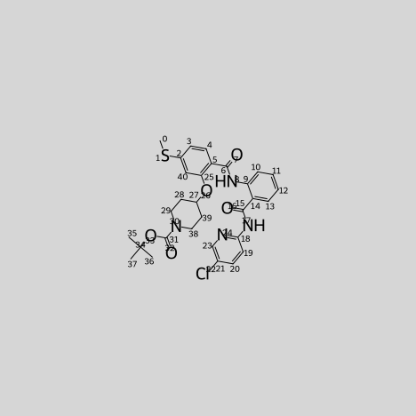 CSc1ccc(C(=O)Nc2ccccc2C(=O)Nc2ccc(Cl)cn2)c(OC2CCN(C(=O)OC(C)(C)C)CC2)c1